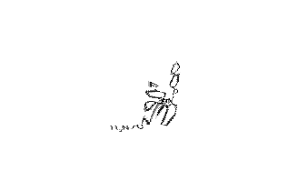 NCCOCCN(c1ccccc1NCCOc1ccc(Cl)cc1)S(=O)(=O)c1ccc(F)cc1